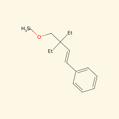 CCC(C=Cc1ccccc1)(CC)CO[SiH3]